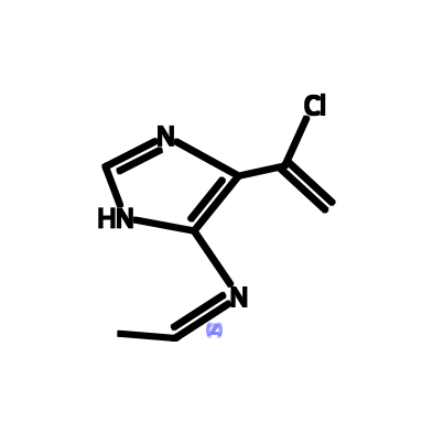 C=C(Cl)c1nc[nH]c1/N=C\C